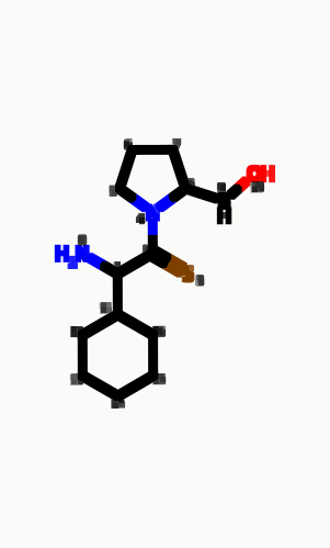 NC(C(=S)N1CCCC1BO)C1CCCCC1